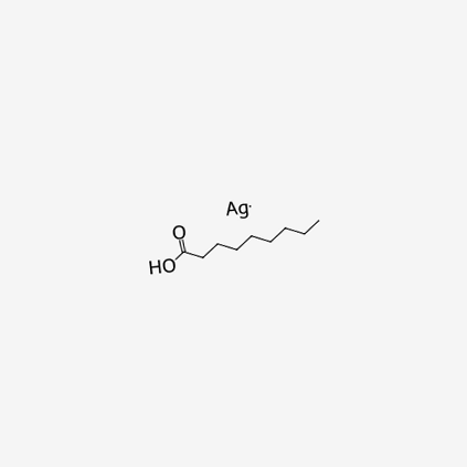 CCCCCCCCC(=O)O.[Ag]